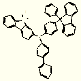 C[Si]1(C)c2ccccc2-c2ccc(N(c3ccc(-c4ccccc4)cc3)c3ccc(C4(c5ccccc5)c5ccccc5-c5ccccc54)cc3)cc21